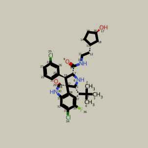 CC(C)(C)C[C@H]1N[C@@H](C(=O)NCC[C@@H]2CC[C@@H](O)C2)[C@H](c2cccc(Cl)c2)[C@@]12C(=O)Nc1cc(Cl)c(F)cc12